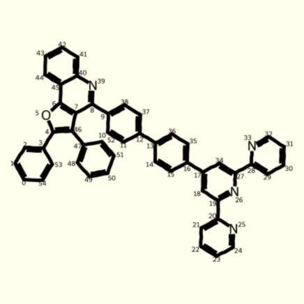 c1ccc(-c2oc3c(c(-c4ccc(-c5ccc(-c6cc(-c7ccccn7)nc(-c7ccccn7)c6)cc5)cc4)nc4ccccc43)c2-c2ccccc2)cc1